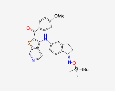 COc1ccc(C(=O)c2sc3cnccc3c2Nc2ccc3c(c2)CCC3=NO[Si](C)(C)C(C)(C)C)cc1